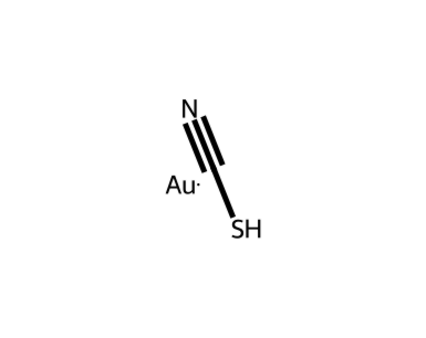 N#CS.[Au]